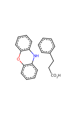 O=C(O)CCc1ccccc1.c1ccc2c(c1)Nc1ccccc1O2